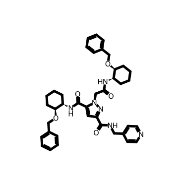 O=C(Cn1nc(C(=O)NCc2ccncc2)cc1C(=O)N[C@H]1CCCC[C@@H]1OCc1ccccc1)N[C@H]1CCCC[C@@H]1OCc1ccccc1